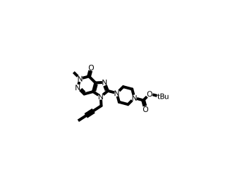 CC#CCn1c(N2CCN(C(=O)OC(C)(C)C)CC2)nc2c(=O)n(C)ncc21